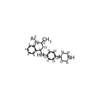 CC(=O)N1c2ccccc2C(Nc2ccc(N3CCNCC3)cc2)CC1C